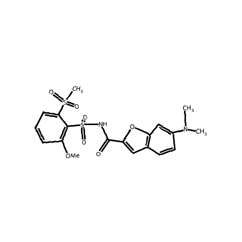 COc1cccc(S(C)(=O)=O)c1S(=O)(=O)NC(=O)c1cc2ccc(N(C)C)cc2o1